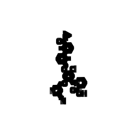 Cc1c(COc2cc(OCc3cncc(C#N)c3)c(CN3CCCC[C@H]3C(=O)O)cc2Cl)cccc1-c1cccc(C(=O)N2CC2)c1C